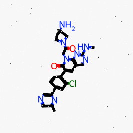 CNc1ncc2cc(-c3ccc(-c4cncc(C)n4)cc3Cl)c(=O)n(CC(=O)N3CC[C@@H](N)C3)c2n1